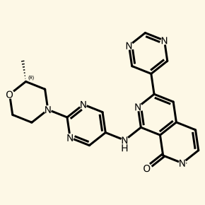 C[C@@H]1CN(c2ncc(Nc3nc(-c4cncnc4)cc4c3C(=O)[N]C=C4)cn2)CCO1